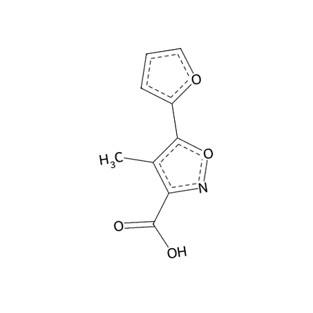 Cc1c(C(=O)O)noc1-c1ccco1